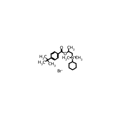 CC(C[N+](C)(C)C1CCCCC1)OC(=O)c1ccc(C(C)(C)C)cc1.[Br-]